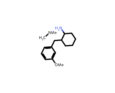 CNC.COc1cccc(CC2CCCCC2N)c1